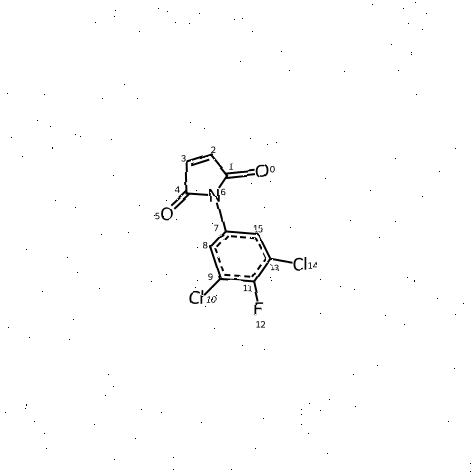 O=C1C=CC(=O)N1c1cc(Cl)c(F)c(Cl)c1